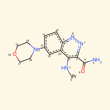 CC(C)Nc1c(C(N)=O)nnc2ccc(N3CCOCC3)cc12